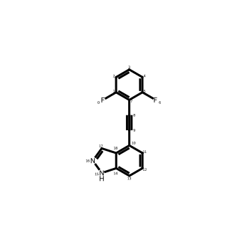 Fc1cccc(F)c1C#Cc1cccc2[nH]ncc12